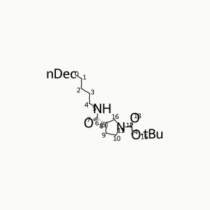 CCCCCCCCCCCCCCNC(=O)[C@H]1CCN(C(=O)OC(C)(C)C)C1